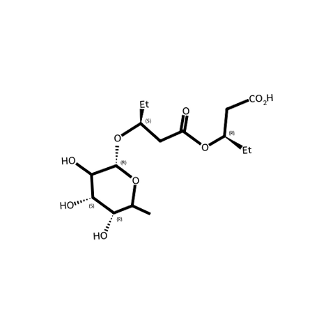 CC[C@H](CC(=O)O)OC(=O)C[C@H](CC)O[C@@H]1OC(C)[C@H](O)[C@H](O)C1O